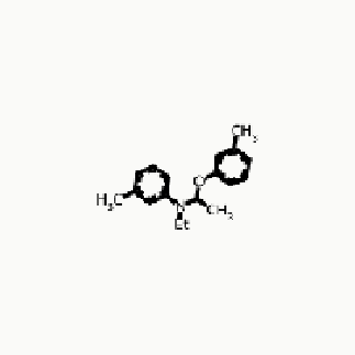 CCN(c1cccc(C)c1)C(C)Oc1cccc(C)c1